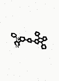 C1=CCCC(n2c3ccncc3c3cc(-c4ccc(-c5ccc6c(-c7ccccc7)c7ccccc7c(-c7ccccc7)c6c5)cc4)ccc32)=C1